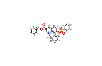 O=C(OCc1ccccc1)C(CNCc1ccccc1)Cc1ccc(OS(=O)(=O)c2ccccc2)cc1